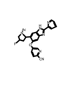 CC(=O)N1CC(F)CC1c1cc2[nH]c(-c3ccccn3)nc2cc1Oc1ccc(C#N)nc1